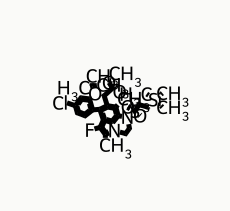 COC(=O)[C@@H](OC(C)(C)C)c1c(C)c2c3c(c(F)c(C)n3CCN2S(=O)(=O)CC[Si](C)(C)C)c1-c1ccc(Cl)cc1